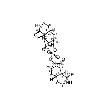 O=C1NCC[C@@H]2C[C@@H]3CN(C(=O)N3OS(=O)(=O)ON3C(=O)N4C[C@H]3C[C@H]3CCNC(=O)[C@H]34)[C@H]12